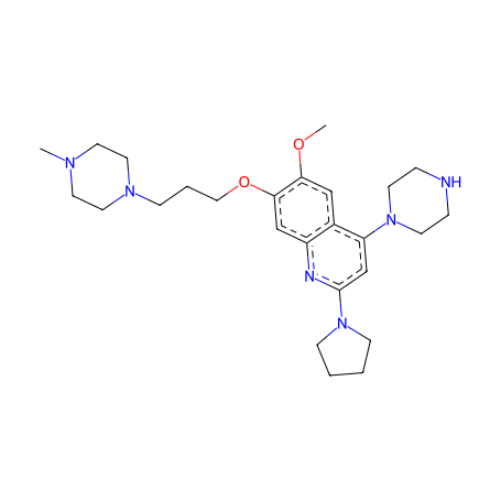 COc1cc2c(N3CCNCC3)cc(N3CCCC3)nc2cc1OCCCN1CCN(C)CC1